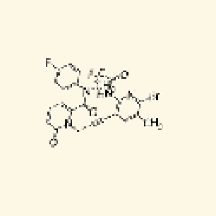 Cc1cc(C#CCn2c(C(=O)N(C)c3ccc(F)cc3)cccc2=O)c(NC(=O)C(F)(F)F)nc1Br